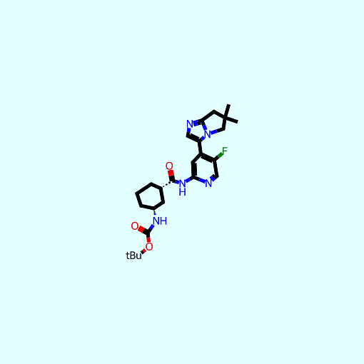 CC1(C)Cc2ncc(-c3cc(NC(=O)[C@H]4CCC[C@@H](NC(=O)OC(C)(C)C)C4)ncc3F)n2C1